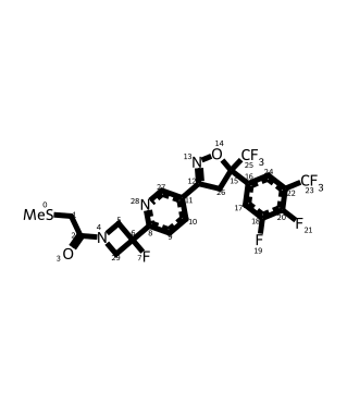 CSCC(=O)N1CC(F)(c2ccc(C3=NOC(c4cc(F)c(F)c(C(F)(F)F)c4)(C(F)(F)F)C3)cn2)C1